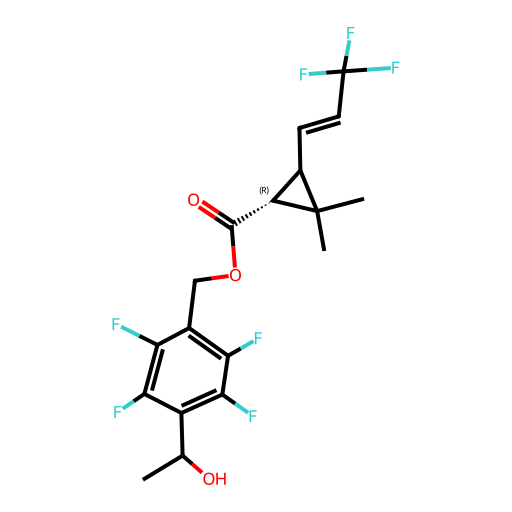 CC(O)c1c(F)c(F)c(COC(=O)[C@@H]2C(C=CC(F)(F)F)C2(C)C)c(F)c1F